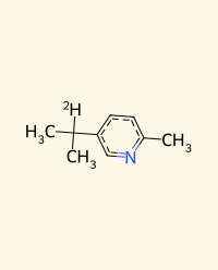 [2H]C(C)(C)c1ccc(C)nc1